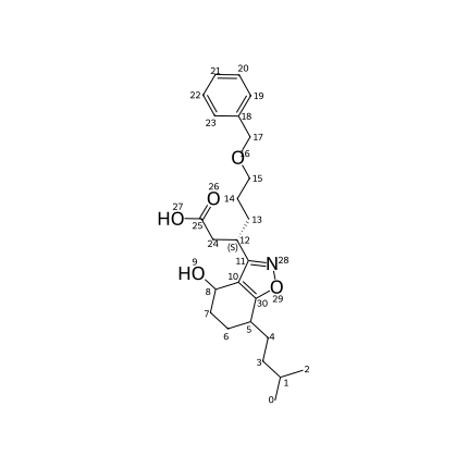 CC(C)CCC1CCC(O)c2c([C@@H](CCCOCc3ccccc3)CC(=O)O)noc21